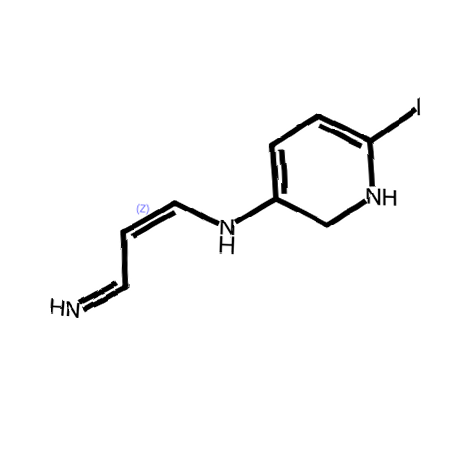 N=C/C=C\NC1=CC=C(I)NC1